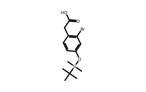 CC(C)(C)[Si](C)(C)Oc1ccc(CC(=O)O)c(Br)c1